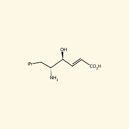 CC(C)C[C@@H](N)[C@@H](O)C=CC(=O)O